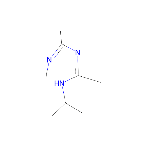 C/N=C(C)\N=C(\C)NC(C)C